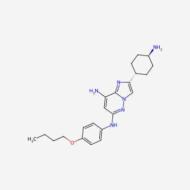 CCCCOc1ccc(Nc2cc(N)c3nc([C@H]4CC[C@H](N)CC4)cn3n2)cc1